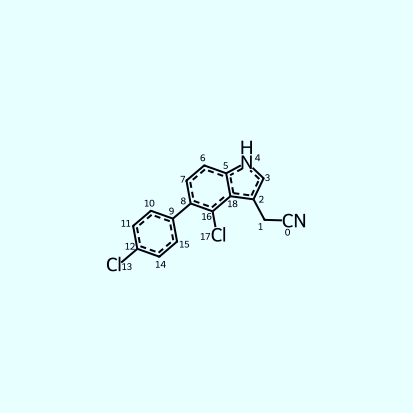 N#CCc1c[nH]c2ccc(-c3ccc(Cl)cc3)c(Cl)c12